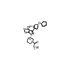 N#CCC(=O)N1CCC[C@H](n2nc(-c3ccc(Oc4ccccc4)cc3)c3c(N)ncnc32)C1